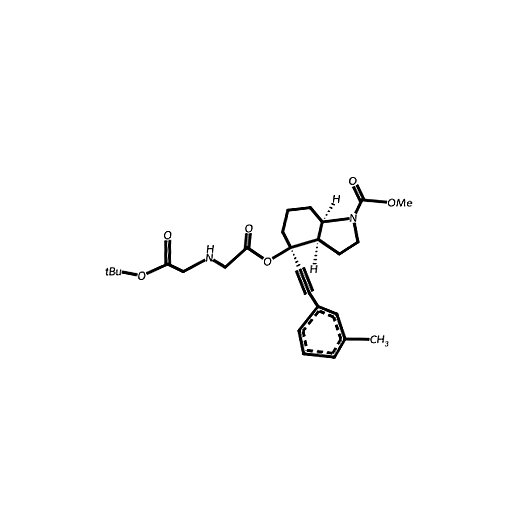 COC(=O)N1CC[C@@H]2[C@H]1CCC[C@]2(C#Cc1cccc(C)c1)OC(=O)CNCC(=O)OC(C)(C)C